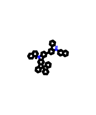 CC1(n2c3ccc(-c4ccc(Nc5ccc6ccccc6c5)c(-c5ccccc5)c4)cc3c3cc4c(cc32)-c2ccccc2C4(c2ccccc2)c2ccccc2)C=CC=C2C=CC=CC21